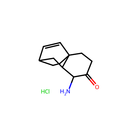 Cl.NC1C(=O)CCC23C=CC(CC2)CC13